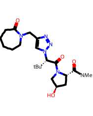 CNC(=O)[C@@H]1C[C@@H](O)CN1C(=O)[C@@H](n1cc(CN2CCCCCC2=O)nn1)C(C)(C)C